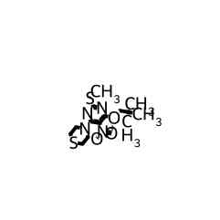 CSc1nc(OCC(C)(C)C)c([N+](=O)[O-])c(N2CCSCC2)n1